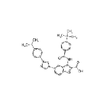 CC(C)c1ccc(-n2cc(-c3ccc4oc(C(=O)O)c(NC(=O)c5ccc(C(C)(C)C)cc5)c4c3)cn2)cc1